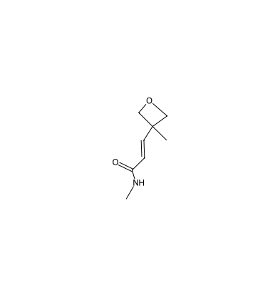 CNC(=O)/C=C/C1(C)COC1